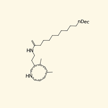 C=C(CCCCCCCCCCCCCCCCCCC)NCCc1c[nH]cccc(C)cc1C